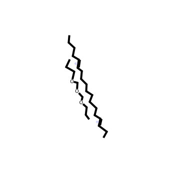 CC/C=C/CCCCCCCC/C=C/CCCC.CCCOCOCOCCC